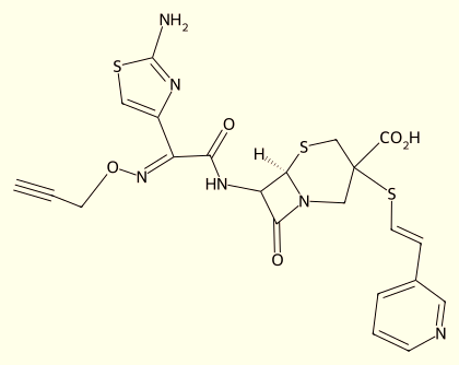 C#CCON=C(C(=O)NC1C(=O)N2CC(SC=Cc3cccnc3)(C(=O)O)CS[C@H]12)c1csc(N)n1